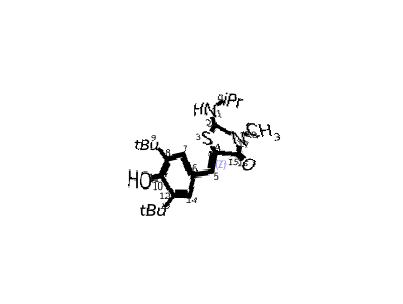 CC(C)NC1S/C(=C\c2cc(C(C)(C)C)c(O)c(C(C)(C)C)c2)C(=O)N1C